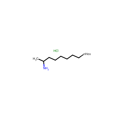 CCCCCCCCCCCCC(C)N.Cl